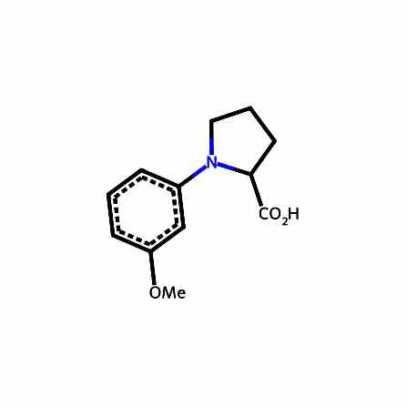 COc1cccc(N2CCCC2C(=O)O)c1